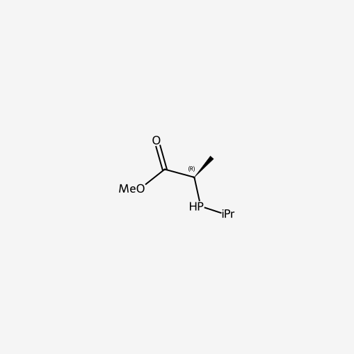 COC(=O)[C@@H](C)PC(C)C